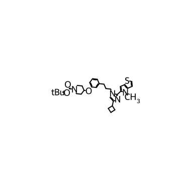 Cn1c(-c2nc(C3CCC3)cn2CCCc2cccc(OC3CCN(C(=O)OC(C)(C)C)CC3)c2)cc2sccc21